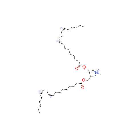 CCCCC/C=C\C/C=C\CCCCCCCC(=O)OCC1C[N+](C)(C)C[C@H]1COC(=O)CCCCCCC/C=C\C/C=C\CCCCC